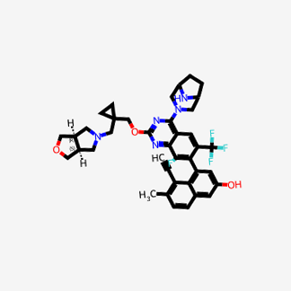 C#Cc1c(C)ccc2cc(O)cc(-c3c(C(F)(F)F)cc4c(N5CC6CCC(C5)N6)nc(OCC5(CN6C[C@H]7COC[C@H]7C6)CC5)nc4c3F)c12